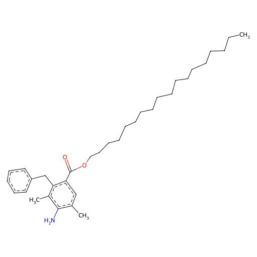 CCCCCCCCCCCCCCCCCCOC(=O)c1cc(C)c(N)c(C)c1Cc1ccccc1